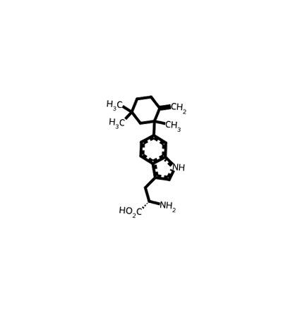 C=C1CCC(C)(C)CC1(C)c1ccc2c(C[C@H](N)C(=O)O)c[nH]c2c1